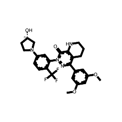 COc1cc(OC)cc(-c2nn(-c3cc(N4CC[C@H](O)C4)ccc3C(F)(F)F)c(=O)c3c2CCCN3)c1